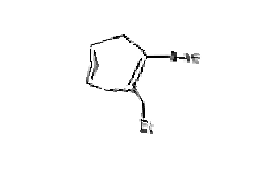 CCC1=[C]([Hf])CC=C1